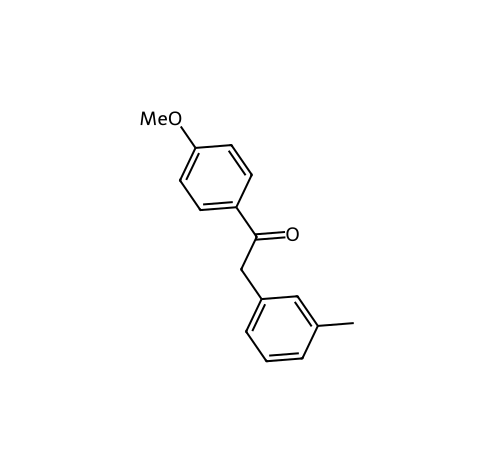 COc1ccc(C(=O)Cc2cccc(C)c2)cc1